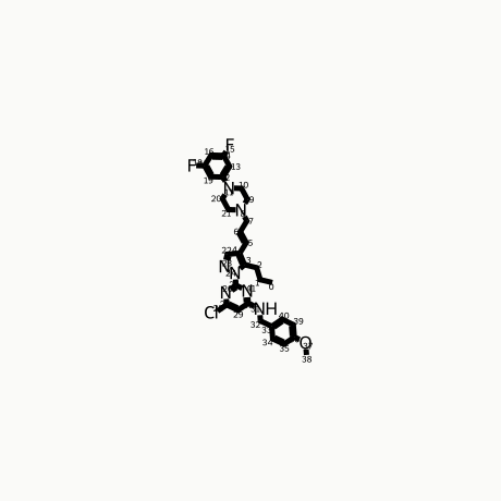 CCCc1c(/C=C/CN2CCN(c3cc(F)cc(F)c3)CC2)cnn1-c1nc(Cl)cc(NCc2ccc(OC)cc2)n1